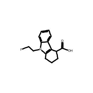 O=C(O)C1CCCc2c1c1ccccc1n2CCF